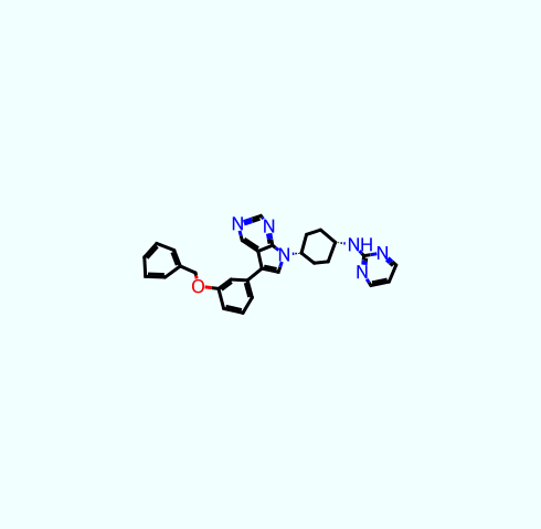 c1ccc(COc2cccc(-c3cn([C@H]4CC[C@@H](Nc5ncccn5)CC4)c4ncncc34)c2)cc1